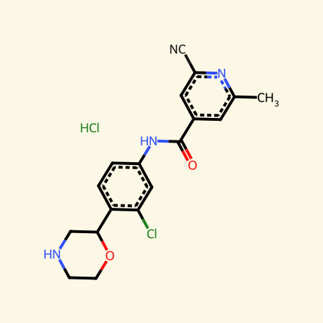 Cc1cc(C(=O)Nc2ccc(C3CNCCO3)c(Cl)c2)cc(C#N)n1.Cl